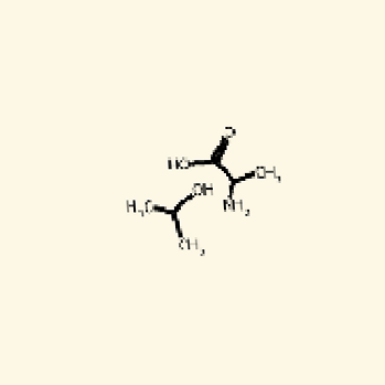 CC(C)O.CC(N)C(=O)O